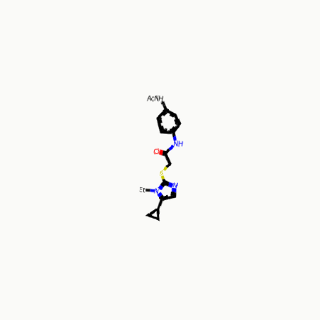 CCn1c(C2CC2)cnc1SCC(=O)Nc1ccc(NC(C)=O)cc1